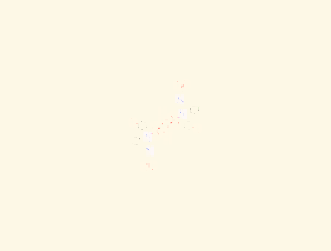 CCCOc1ccc(C(OC(=O)C(O)C(O)C(=O)OC(C(=O)N(Cc2ccc(F)cc2)C2CCN(CCC3OCCCO3)CC2)c2ccc(OCCC)cc2)C(=O)N(Cc2ccc(F)cc2)C2CCN(CCC3OCCCO3)CC2)cc1